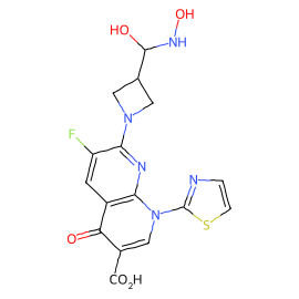 O=C(O)c1cn(-c2nccs2)c2nc(N3CC(C(O)NO)C3)c(F)cc2c1=O